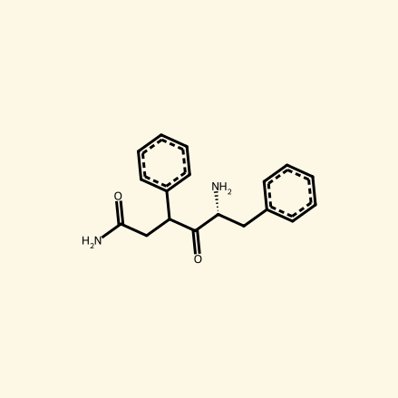 NC(=O)CC(C(=O)[C@H](N)Cc1ccccc1)c1ccccc1